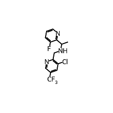 CC(NCc1ncc(C(F)(F)F)cc1Cl)c1ncccc1F